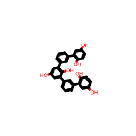 Oc1ccc(O)c(-c2cccc(-c3cc(O)cc(-c4cccc(-c5cc(O)ccc5O)c4)c3O)c2)c1